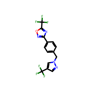 FC(F)(F)c1cnn(Cc2ccc(-c3noc(C(F)(F)F)n3)cc2)c1